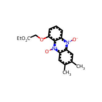 CCOC(=O)COc1cccc2c1[n+]([O-])c1cc(C)c(C)cc1[n+]2[O-]